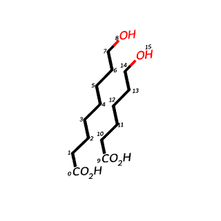 O=C(O)CCCCCCCO.O=C(O)CCCCCO